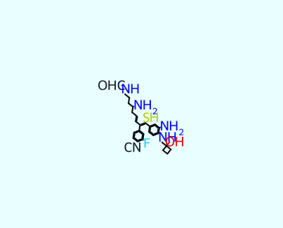 N#Cc1ccc(C(/C=C/CC(N)CCCNC=O)=C(/S)c2ccc(NCC3(O)CCC3)c(N)c2)cc1F